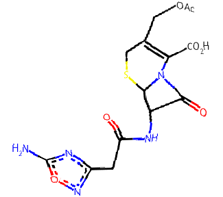 CC(=O)OCC1=C(C(=O)O)N2C(=O)C(NC(=O)Cc3noc(N)n3)C2SC1